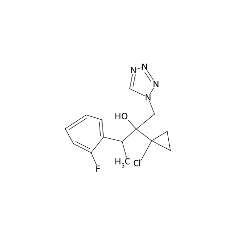 CC(c1ccccc1F)C(O)(Cn1cnnn1)C1(Cl)CC1